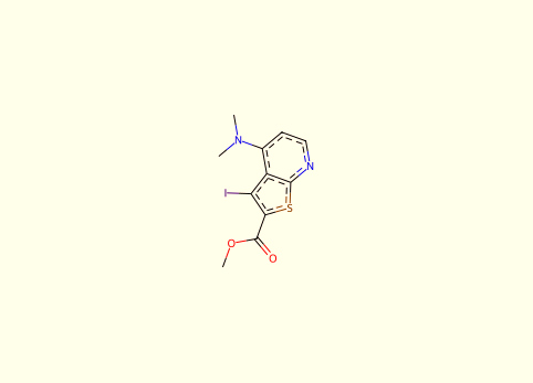 COC(=O)c1sc2nccc(N(C)C)c2c1I